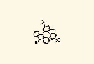 CC(C)(C)c1ccc2c(c1)C(C)(C)c1cc(C(C)(C)C)cc(-c3c4ccccc4c(Br)c4ccccc34)c1-2